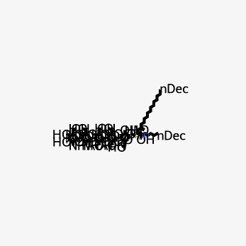 CCCCCCCCCCCCC/C=C/[C@@H](O)[C@H](CO[C@@H]1OC(CO)[C@@H](O[C@@H]2OC(CO)[C@H](O)[C@H](O[C@H]3OC(CO)[C@H](O)[C@H](O[C@@H]4OC(CO)[C@H](O)[C@H](O[C@H]5OC(CO)[C@H](O)[C@H](O)C5NC(C)=O)C4NC(C)=O)C3O)C2O)[C@H](O)C1O)NC(=O)CCCCCCCCCCCCCCCCCCCCCCC